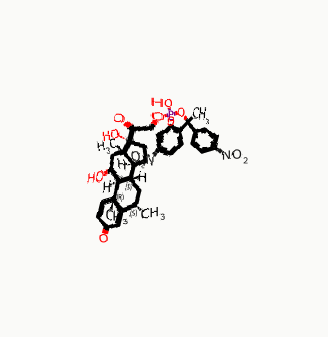 C[C@H]1C[C@@H]2[C@H](C(O)C[C@@]3(C)[C@H]2CC[C@]3(O)C(=O)COP(=O)(O)OC(C)(c2ccc([N+](=O)[O-])cc2)c2ccc([N+](=O)[O-])cc2)[C@@]2(C)C=CC(=O)C=C12